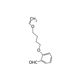 C=COCCCCOc1ccccc1C=O